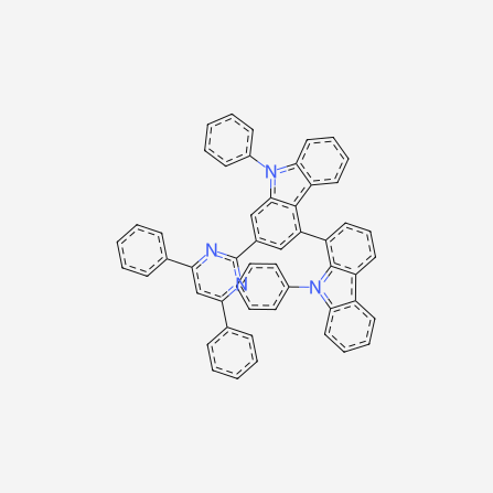 c1ccc(-c2cc(-c3ccccc3)nc(-c3cc(-c4cccc5c6ccccc6n(-c6ccccc6)c45)c4c5ccccc5n(-c5ccccc5)c4c3)n2)cc1